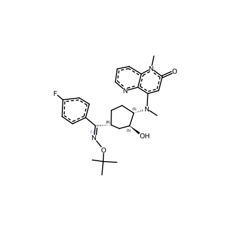 CN(c1cc(=O)n(C)c2cccnc12)[C@H]1CC[C@@H](/C(=N\OC(C)(C)C)c2ccc(F)cc2)C[C@@H]1O